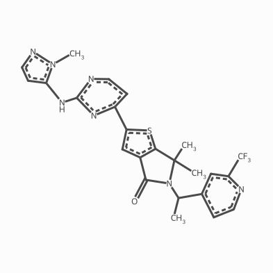 CC(c1ccnc(C(F)(F)F)c1)N1C(=O)c2cc(-c3ccnc(Nc4ccnn4C)n3)sc2C1(C)C